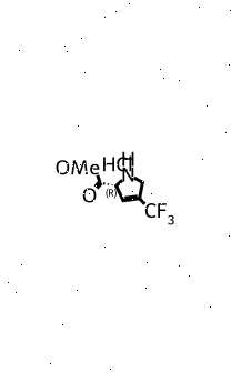 COC(=O)[C@H]1C=C(C(F)(F)F)CN1.Cl